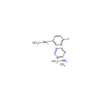 C.Cc1ccc(F)nc1.NC(=O)O.NC(=O)O.c1ncncn1